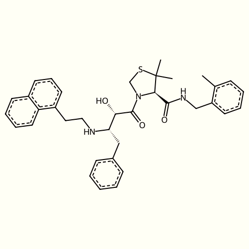 Cc1ccccc1CNC(=O)[C@H]1N(C(=O)[C@@H](O)[C@H](Cc2ccccc2)NCCc2cccc3ccccc23)CSC1(C)C